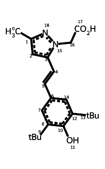 Cc1cc(C=Cc2cc(C(C)(C)C)c(O)c(C(C)(C)C)c2)n(CC(=O)O)n1